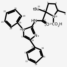 CC1CCC(C(=O)Nc2nc(-c3ccccc3)cn2-c2ccccc2)(C(C)(C)C)N1C(=O)O